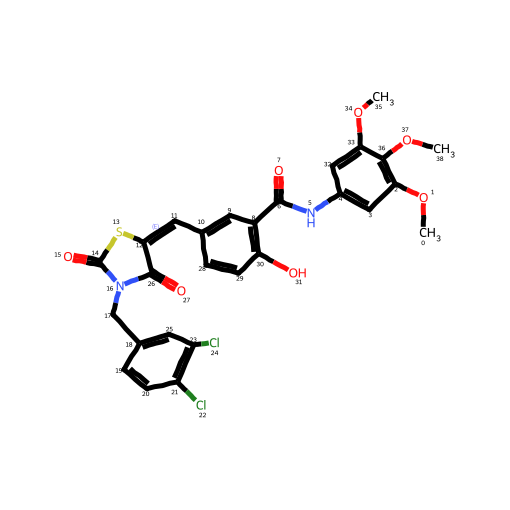 COc1cc(NC(=O)c2cc(/C=C3/SC(=O)N(Cc4ccc(Cl)c(Cl)c4)C3=O)ccc2O)cc(OC)c1OC